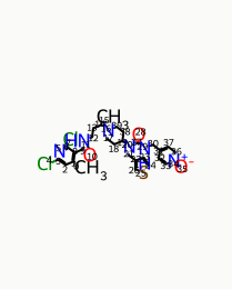 Cc1cc(Cl)nc(Cl)c1C(=O)NCC[C@@H](C)N1CCC(N(Cc2ccsc2)C(=O)NCc2cc[n+]([O-])cc2)CC1